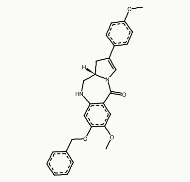 COc1ccc(C2=CN3C(=O)c4cc(OC)c(OCc5ccccc5)cc4NC[C@@H]3C2)cc1